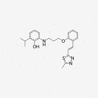 Cc1nnc(C=Cc2ccccc2OCCCNc2cccc(C(C)C)c2O)s1